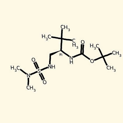 CN(C)S(=O)(=O)NC[C@H](NC(=O)OC(C)(C)C)C(C)(C)C